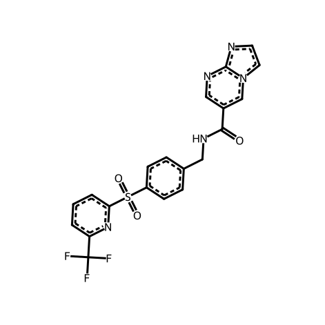 O=C(NCc1ccc(S(=O)(=O)c2cccc(C(F)(F)F)n2)cc1)c1cnc2nccn2c1